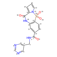 O=C(NCc1cncnc1)c1ccc2c(c1)NC(=O)c1cccn1S2(=O)=O